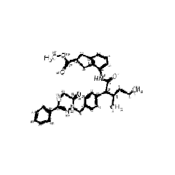 CCCC(C)C(C(=O)Nc1cccc2c1CC(C(=O)OC)C2)c1ccc(CN2N=C(c3ccccc3)OCC2=O)cc1